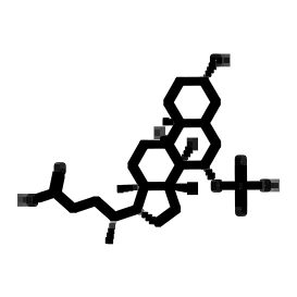 C[C@H](CCC(=O)O)[C@H]1CC[C@H]2[C@@H]3[C@@H](OS(=O)(=O)O)CC4C[C@@H](O)CC[C@]4(C)[C@H]3CC[C@]12C